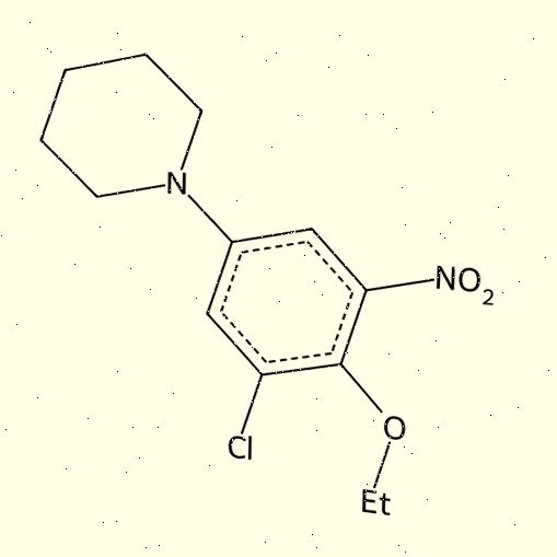 CCOc1c(Cl)cc(N2CCCCC2)cc1[N+](=O)[O-]